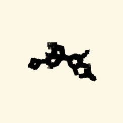 CC(C)=Nc1c(C)cc(-c2c[nH]c3nc(C4CCC4)ncc23)cc1F